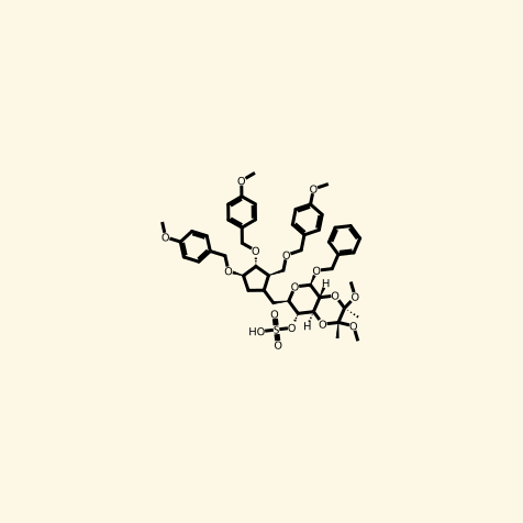 COc1ccc(COC[C@H]2C(C[C@H]3O[C@@H](OCc4ccccc4)[C@@H]4O[C@@](C)(OC)[C@](C)(OC)O[C@H]4[C@@H]3OS(=O)(=O)O)C[C@@H](OCc3ccc(OC)cc3)[C@@H]2OCc2ccc(OC)cc2)cc1